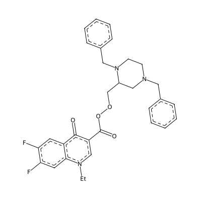 CCn1cc(C(=O)OOCC2CN(Cc3ccccc3)CCN2Cc2ccccc2)c(=O)c2cc(F)c(F)cc21